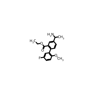 CCOC(=O)c1cc(C(C)N)ccc1-c1cc(F)ccc1OC